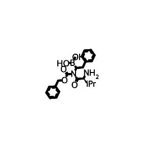 CC(C)[C@H](N)C(=O)N(C(=O)OCc1ccccc1)C(Cc1ccccc1)B(O)O